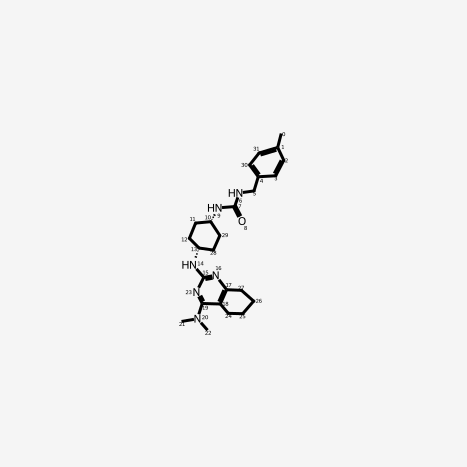 Cc1ccc(CNC(=O)N[C@H]2CC[C@@H](Nc3nc4c(c(N(C)C)n3)CCCC4)CC2)cc1